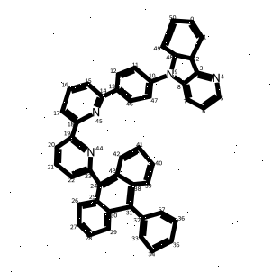 C1=CC2c3ncccc3N(c3ccc(-c4cccc(-c5cccc(-c6c7ccccc7c(-c7ccccc7)c7ccccc67)n5)n4)cc3)C2C=C1